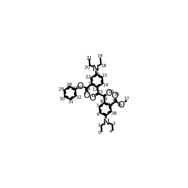 CCN(CC)c1ccc(C(=O)C(=O)c2ccc(N(CC)CC)cc2C(=O)Oc2ccccc2)c(C(=O)OC)c1